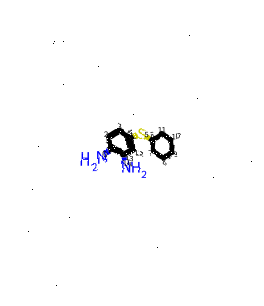 Nc1ccc(SC2CCCCC2)cc1N